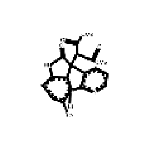 CCOc1ncccc1C1(C(C(=O)OC)C(=O)OC)C(=O)Nc2ccc(C#N)cc21